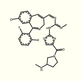 C/N=C(\N=C/C1=Cc2ccc(Cl)cc2C(c2c(F)cccc2F)=NC1)Nc1nc(C(=O)N2CCC(NC)C2)co1